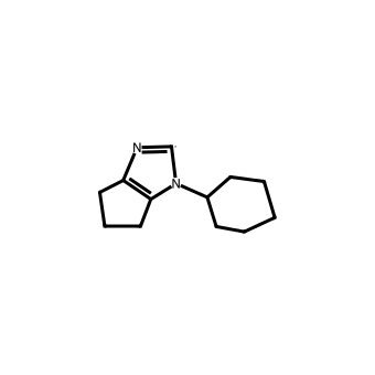 [c]1nc2c(n1C1CCCCC1)CCC2